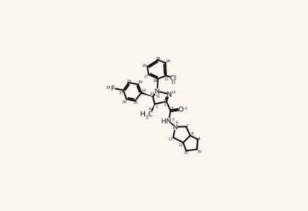 C[C@@H]1C(C(=O)NN2CC3CCCC3C2)=NN(c2ccccc2Cl)[C@@H]1c1ccc(F)cc1